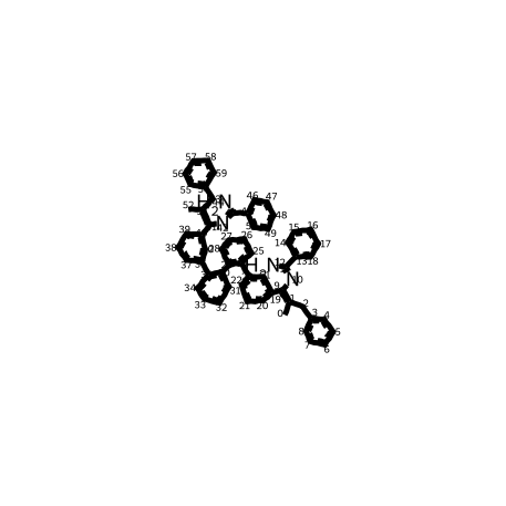 C/C(Cc1ccccc1)=C(/N=C(\N)c1ccccc1)c1cccc(-c2ccccc2-c2ccccc2-c2cccc(C(/N=C(\N)c3ccccc3)=C(\C)Cc3ccccc3)c2)c1